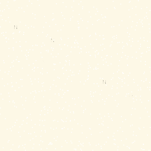 c1ccc2c(c1)Oc1ccccc1N2c1ccc(-c2nc3cnccc3s2)cc1